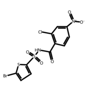 O=C(NS(=O)(=O)c1ccc(Br)s1)c1ccc([N+](=O)[O-])cc1Cl